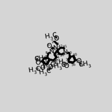 COCCN1C(=O)N2Cc3cc(OC)c(OC)c(OC)c3C(C)(C)C=C2C12CCN(Cc1cc(OC)cc(OC)c1)CC2